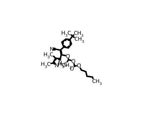 CCCCCOC(=O)OC(C)O/C(=C(/C#N)c1ccc(C(C)(C)C)cc1)c1c(C)c(C)nn1C